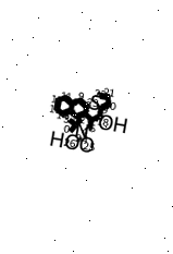 CC(C)(C)N(CC(c1ccc2ccccc2c1)C(O)c1cccs1)C(=O)O